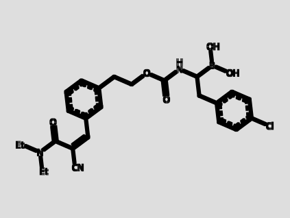 CCN(CC)C(=O)C(C#N)=Cc1cccc(CCOC(=O)NC(Cc2ccc(Cl)cc2)B(O)O)c1